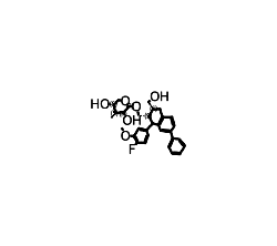 COc1cc(C2c3cc(-c4ccccc4)ccc3C[C@H](CO)[C@H]2CO[C@@H]2OC[C@@H](O)[C@H](C)[C@H]2O)ccc1F